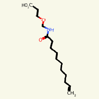 C=CCCCCCCCCC(=O)NCOCCC(=O)O